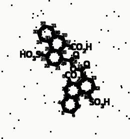 O=C(O)c1cc2ccccc2c2c(S(=O)(=O)O)ccc(C(=O)OC(=O)c3ccc(S(=O)(=O)O)c4c3c(C(=O)O)cc3ccccc34)c12